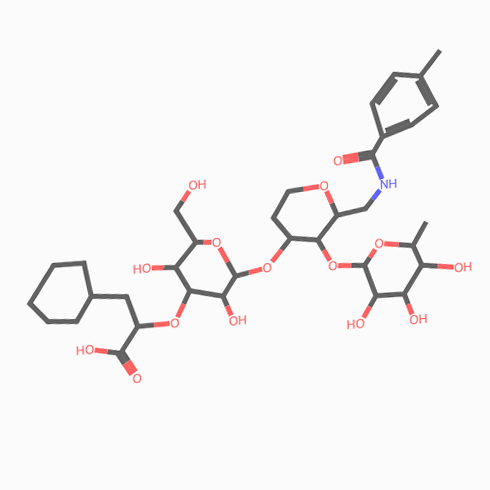 Cc1ccc(C(=O)NCC2OCCC(OC3OC(CO)C(O)C(OC(CC4CCCCC4)C(=O)O)C3O)C2OC2OC(C)C(O)C(O)C2O)cc1